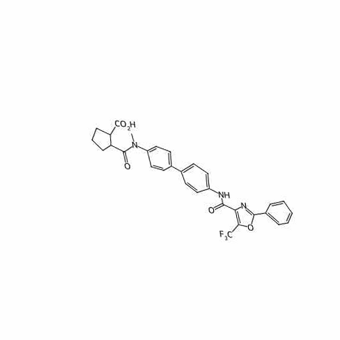 CN(C(=O)C1CCCC1C(=O)O)c1ccc(-c2ccc(NC(=O)c3nc(-c4ccccc4)oc3C(F)(F)F)cc2)cc1